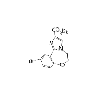 CCOC(=O)c1cn2c(n1)-c1cc(Br)ccc1OCC2